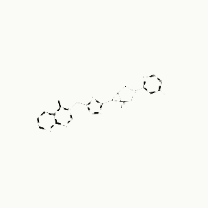 O=c1c2cccnc2ncn1Cc1nc(C2C3CN(c4cc(Cl)ccn4)C[C@@H]32)no1